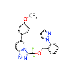 FC(F)(F)Oc1ccc(-c2ccc3nnc(C(F)(F)OCc4ccccc4-n4cccn4)n3c2)cc1